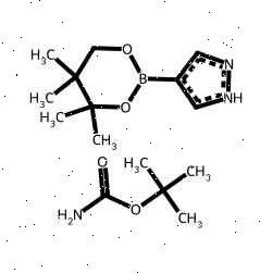 CC(C)(C)OC(N)=O.CC1(C)COB(c2cn[nH]c2)OC1(C)C